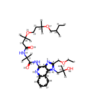 CCOCc1nc2c(NC(=O)C(C)(C)NC(=O)CC(C)(C)OCCC(C)(C)OCC(C)CC)nc3ccccc3c2n1CC(C)(C)O